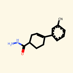 N#Cc1cccc(C2=CCC(C(=O)NN)CC2)c1